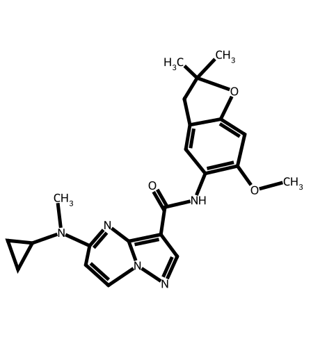 COc1cc2c(cc1NC(=O)c1cnn3ccc(N(C)C4CC4)nc13)CC(C)(C)O2